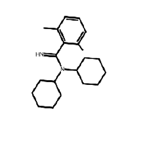 Cc1cccc(C)c1C(=N)N(C1CCCCC1)C1CCCCC1